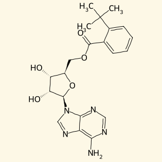 CC(C)(C)c1ccccc1C(=O)OC[C@H]1O[C@@H](n2cnc3c(N)ncnc32)[C@H](O)[C@@H]1O